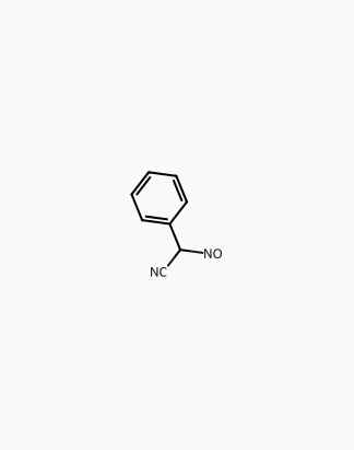 N#CC(N=O)c1ccccc1